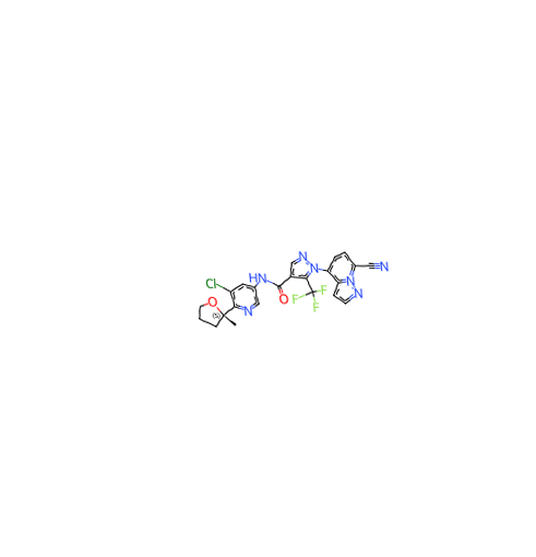 C[C@@]1(c2ncc(NC(=O)c3cnn(-c4ccc(C#N)n5nccc45)c3C(F)(F)F)cc2Cl)CCCO1